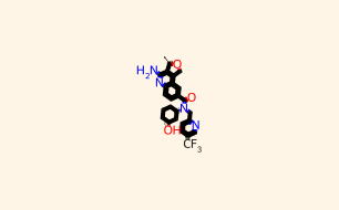 C[C@@H]1OCc2c1c(N)nc1ccc(C(=O)N(Cc3ccc(C(F)(F)F)cn3)[C@H]3CCC[C@H](O)C3)cc21